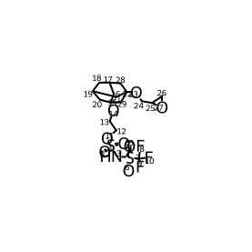 O=S(=O)(NS(=O)(=O)C(F)(F)F)OCCOC12CC3CC(C1)CC(OCC1CO1)(C3)C2